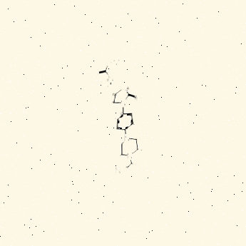 COC(=S)NC[C@H]1CN(c2ccc(N3CCN(CC#N)CC3)cc2)C(=O)O1